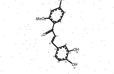 COc1cc(O)ccc1C(=O)C=Cc1ccc(O)c(O)c1